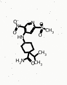 CC(C)C1(C(N)=O)CCC(Nc2cc(S(C)(=O)=O)ncc2[N+](=O)[O-])CC1